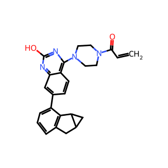 C=CC(=O)N1CCN(c2nc(O)nc3cc(-c4cccc5c4C4CC4C5)ccc23)CC1